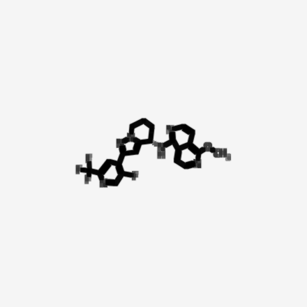 COc1nccc2c(N[C@H]3CCCn4nc(-c5cc(C(F)(F)F)ncc5F)cc43)nccc12